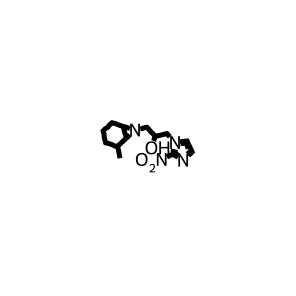 CC1CCCC2C1N2CC(O)Cn1ccnc1[N+](=O)[O-]